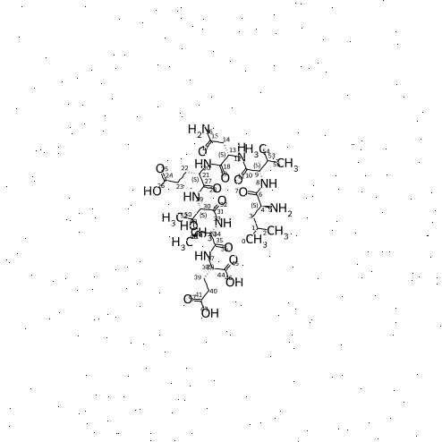 CC(C)C[C@H](N)C(=O)N[C@H](C(=O)N[C@@H](CC(N)=O)C(=O)N[C@@H](CCC(=O)O)C(=O)N[C@H](C(=O)N[C@H](C(=O)N[C@@H](CCC(=O)O)C(=O)O)[C@@H](C)O)C(C)C)C(C)C